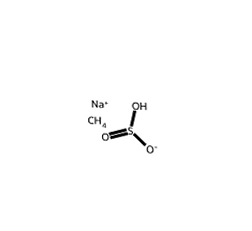 C.O=S([O-])O.[Na+]